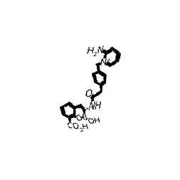 Nc1cccc[n+]1Cc1ccc(CC(=O)N[C@H]2Cc3cccc(C(=O)O)c3OB2O)cc1